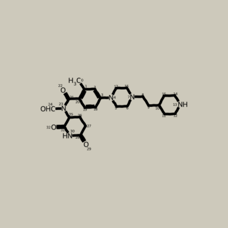 Cc1cc(N2CCN(CCC3CCNCC3)CC2)ccc1C(=O)N(C=O)C1CCC(=O)NC1=O